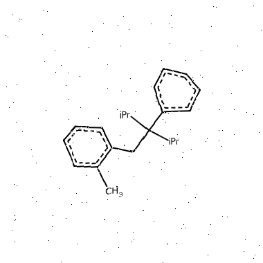 Cc1ccccc1CC(c1ccccc1)(C(C)C)C(C)C